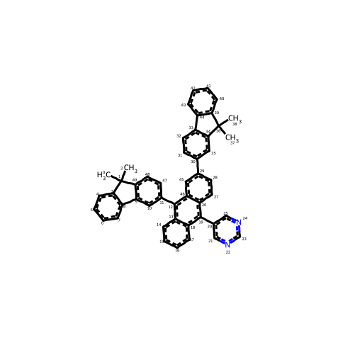 CC1(C)c2ccccc2-c2cc(-c3c4ccccc4c(-c4cncnc4)c4ccc(-c5ccc6c(c5)C(C)(C)c5ccccc5-6)cc34)ccc21